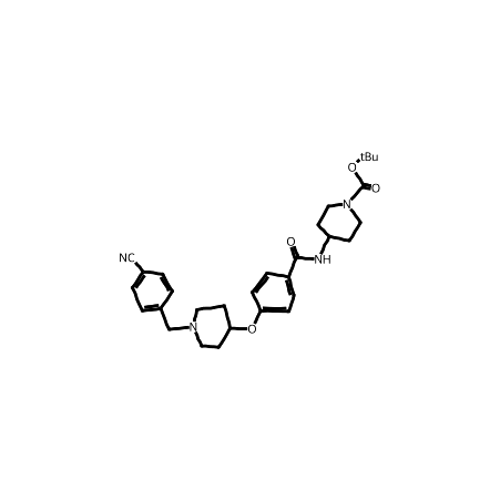 CC(C)(C)OC(=O)N1CCC(NC(=O)c2ccc(OC3CCN(Cc4ccc(C#N)cc4)CC3)cc2)CC1